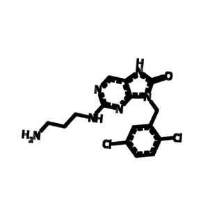 NCCCNc1ncc2[nH]c(=O)n(Cc3cc(Cl)ccc3Cl)c2n1